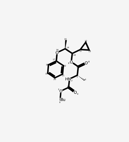 C[C@H](NC(=O)OC(C)(C)C)C(=O)OC(C1CC1)[C@H](C)Oc1ccccc1